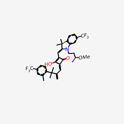 C=C(/C=C1/C(=O)C(/C=C2\N(CCC(C)OC)c3cc(C(F)(F)F)ccc3C2(C)C)=C1O)C(C)(C)c1ccc(C(F)(F)F)cc1C